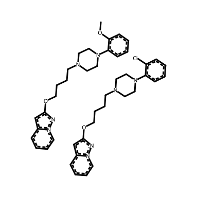 COc1ccccc1N1CCN(CCCCOc2cc3ccccn3n2)CC1.Clc1ccccc1N1CCN(CCCCOc2cc3ccccn3n2)CC1